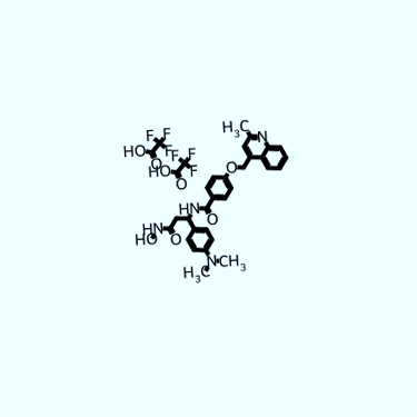 Cc1cc(COc2ccc(C(=O)NC(CC(=O)NO)c3ccc(N(C)C)cc3)cc2)c2ccccc2n1.O=C(O)C(F)(F)F.O=C(O)C(F)(F)F